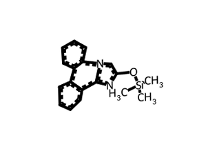 C[Si](C)(C)Oc1cn2c3ccccc3c3ccccc3c2n1